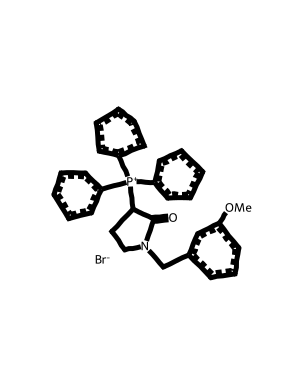 COc1cccc(CN2CCC([P+](c3ccccc3)(c3ccccc3)c3ccccc3)C2=O)c1.[Br-]